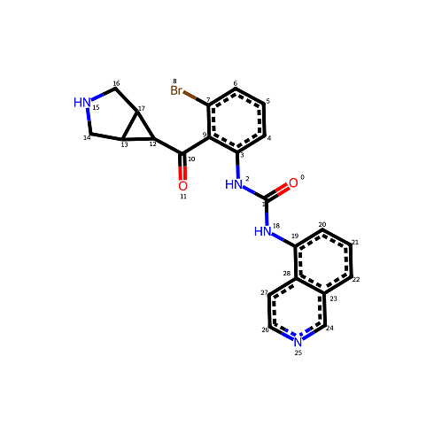 O=C(Nc1cccc(Br)c1C(=O)C1C2CNCC21)Nc1cccc2cnccc12